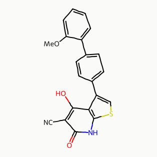 COc1ccccc1-c1ccc(-c2csc3[nH]c(=O)c(C#N)c(O)c23)cc1